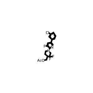 CC(=O)OCC1CCN(c2ncc(-c3cccc(Cl)c3)cc2F)CC1(F)F